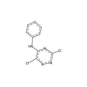 Clc1nnc(Cl)c(Nc2ccccc2)n1